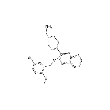 COc1ccc(Br)cc1CSc1nc2ccccc2nc1N1CCC(CN)CC1